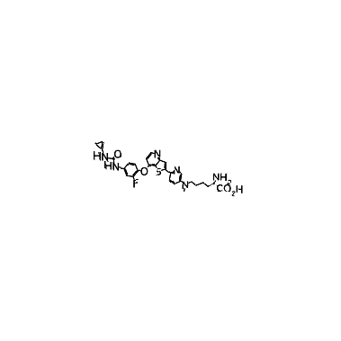 CN(CCCC[C@H](N)C(=O)O)c1ccc(-c2cc3nccc(Oc4ccc(NC(=O)NC5CC5)cc4F)c3s2)nc1